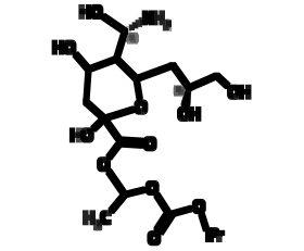 CC(C)OC(=O)OC(C)OC(=O)C1(O)CC(O)C([C@@H](N)O)C(C[C@H](O)CO)O1